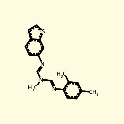 Cc1ccc(N=CN(C)C=Nc2ccc3ccsc3c2)c(C)c1